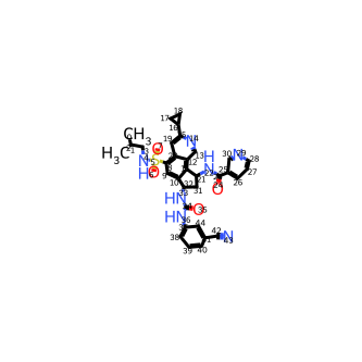 CC(C)CNS(=O)(=O)c1cc2c(c3cnc(C4CC4)cc13)C(NC(=O)c1cccnc1)CC2NC(=O)Nc1cccc(C#N)c1